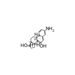 C[C@]12CC[C@H]3[C@@H]([C@@H](O)C=C4C=C(N)C=C[C@@]43C)[C@@H]1CC[C@@H]2O